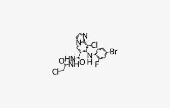 O=C(CCl)NNC(=O)c1cn2ccnc2c(Cl)c1Nc1ccc(Br)cc1F